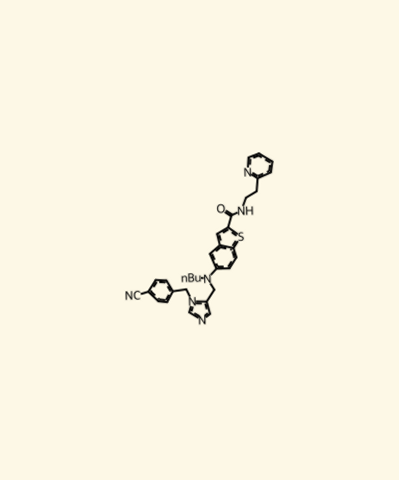 CCCCN(Cc1cncn1Cc1ccc(C#N)cc1)c1ccc2sc(C(=O)NCCc3ccccn3)cc2c1